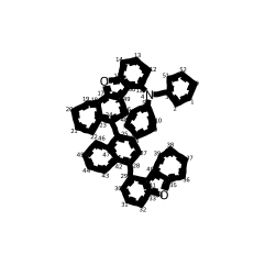 c1ccc(N(c2ccccc2)c2cccc3oc4c5ccccc5c(-c5ccc(-c6cccc7oc8ccccc8c67)c6ccccc56)cc4c23)cc1